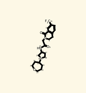 O=C(CN1CCc2ccc(C(F)(F)F)cc2C1=O)NC1CCN(C2CCCOCC2)C1